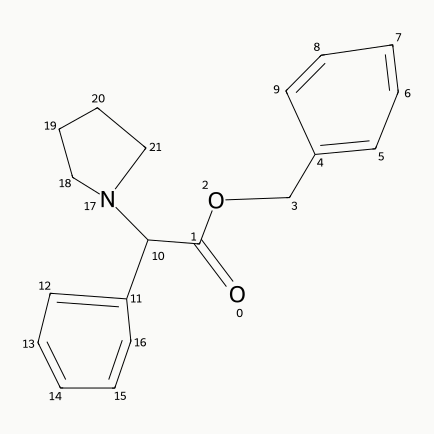 O=C(OCc1ccccc1)C(c1ccccc1)N1CCCC1